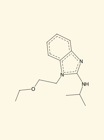 CCOCCn1c(NC(C)C)nc2ccccc21